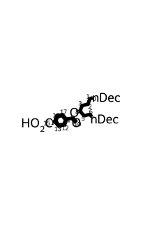 CCCCCCCCCCCCCC(CCCCCCCCCCCC)OC(=O)c1ccc(C(=O)O)cc1